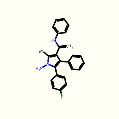 C=C(Nc1ccccc1)c1c(-c2ccccc2)c(-c2ccc(F)cc2)n(N)c1C(C)C